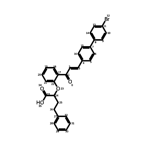 O=C(C=Cc1ccc(-c2ccc(Br)cc2)cc1)c1ccccc1OC(CCc1ccccc1)C(=O)O